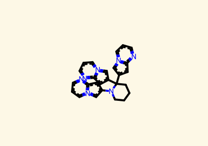 c1cnc2cc(N3CCCCC3(c3cc4ncccn4c3)c3cc4ncccn4c3)cn2c1